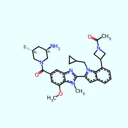 COc1cc(C(=O)N2C[C@H](N)C[C@@H](F)C2)cc2nc(-c3cc4cccc(C5CN(C(C)=O)C5)c4n3CC3CC3)n(C)c12